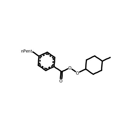 CCCCCc1ccc(C(=O)OO[C]2CCC(C)CC2)cc1